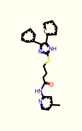 Cc1ccnc(NC(=O)CCCSc2nc(-c3ccccc3)c(-c3ccccc3)[nH]2)c1